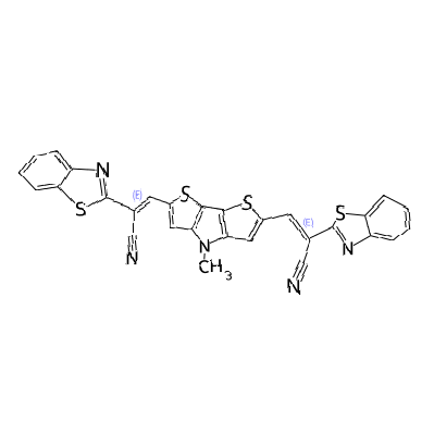 Cn1c2cc(/C=C(\C#N)c3nc4ccccc4s3)sc2c2sc(/C=C(\C#N)c3nc4ccccc4s3)cc21